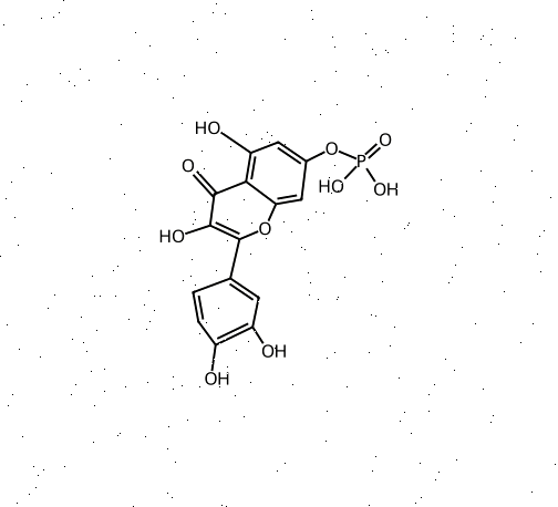 O=c1c(O)c(-c2ccc(O)c(O)c2)oc2cc(OP(=O)(O)O)cc(O)c12